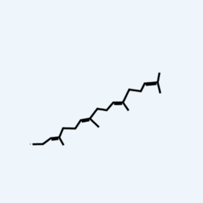 [CH2]C/C=C(\C)CC/C=C(\C)CC/C=C(\C)CCC=C(C)C